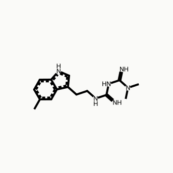 Cc1ccc2[nH]cc(CCNC(=N)NC(=N)N(C)C)c2c1